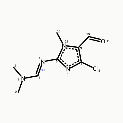 CN(C)/C=N/c1nc(Cl)c(C=O)n1C